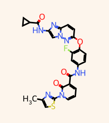 Cc1csc(-n2cccc(C(=O)Nc3ccc(Oc4ccc5nc(NC(=O)C6CC6)cn5n4)c(F)c3)c2=O)n1